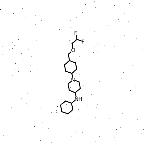 FC(F)COCC1CCC(N2CCC(NC3CCCCC3)CC2)CC1